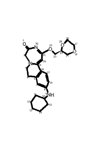 O=C1CN2CCc3cc(NC4CCCCC4)ccc3C2=CC(OC[C@@H]2COCCO2)=N1